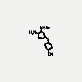 CC(=O)Nc1cc(Sc2ccc(C#N)cc2)ccc1N